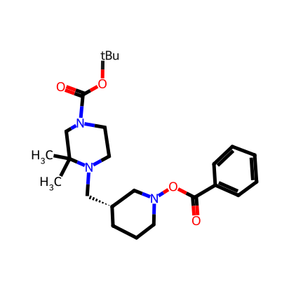 CC(C)(C)OC(=O)N1CCN(C[C@H]2CCCN(OC(=O)c3ccccc3)C2)C(C)(C)C1